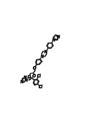 Clc1ccc([C@]2(Cn3cncn3)OC[C@@H](COc3ccc(N4CCN(c5ccc(-n6ccnc6)cc5)CC4)cc3)O2)c(Cl)c1